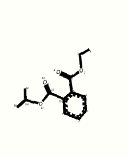 CCOC(=O)c1ccccc1C(=O)OC(C)C